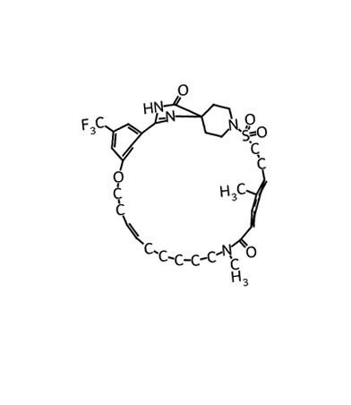 Cc1cc2ccc1CCS(=O)(=O)N1CCC3(CC1)N=C(NC3=O)c1cc(cc(C(F)(F)F)c1)OCC/C=C\CCCCCN(C)C2=O